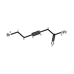 CCCC(=O)CC#CCCBr